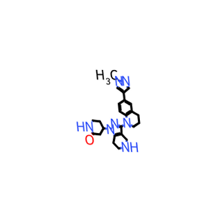 Cn1cc(-c2ccc3c(c2)CCCN3c2nn(C3CCNC(=O)C3)c3c2CNCC3)cn1